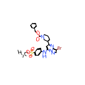 COS(=O)(=O)c1ccc(Nc2cc(C3CCCN(C(=O)OCc4ccccc4)C3)nc3c(Br)cnn23)cc1